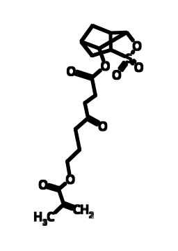 C=C(C)C(=O)OCCCC(=O)CCC(=O)OC1C2CC3C1OS(=O)(=O)C3C2